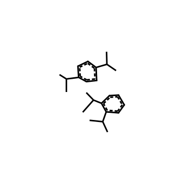 CC(C)c1ccc(C(C)C)cc1.CC(C)c1ccccc1C(C)C